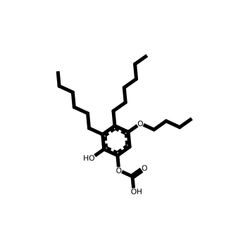 CCCCCCc1c(OCCCC)cc(OC(=O)O)c(O)c1CCCCCC